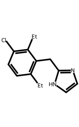 CCc1ccc(Cl)c(CC)c1Cc1ncc[nH]1